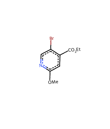 CCOC(=O)c1cc(OC)ncc1Br